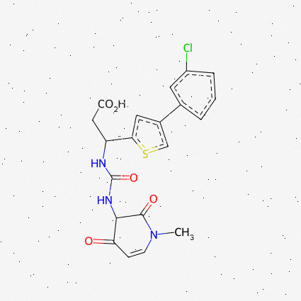 CN1C=CC(=O)C(NC(=O)NC(CC(=O)O)c2cc(-c3cccc(Cl)c3)cs2)C1=O